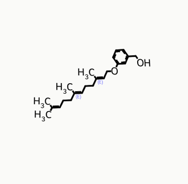 CC(C)=CCC/C(C)=C/CC/C(C)=C/COc1cccc(CO)c1